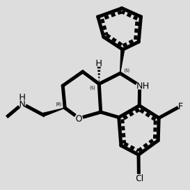 CNC[C@H]1CC[C@@H]2C(O1)c1cc(Cl)cc(F)c1N[C@@H]2c1ccccc1